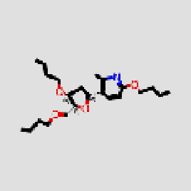 CCCCOC[C@H]1O[C@@H](c2ccc(OCCCC)nc2C)C[C@H]1OCCCC